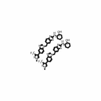 Cn1cc(-c2ccc3c(c2)ncn3Cc2ccc3nc(N[C@@H]4CCCC[C@H]4O)sc3c2)c(C(F)(F)F)n1.Cn1cc(-c2ccc3c(c2)ncn3Cc2ccc3nc(N[C@@H]4CCCC[C@H]4O)sc3c2)c(C(F)(F)F)n1